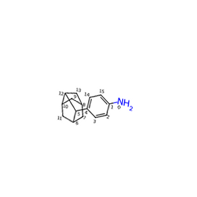 Nc1ccc(C2C3CC4CC(C3)C2C4)cc1